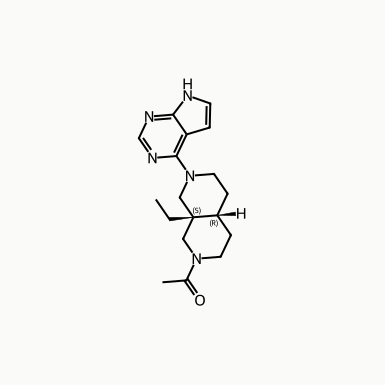 CC[C@]12CN(C(C)=O)CC[C@H]1CCN(c1ncnc3[nH]ccc13)C2